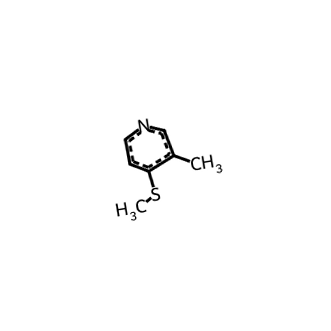 CSc1ccncc1C